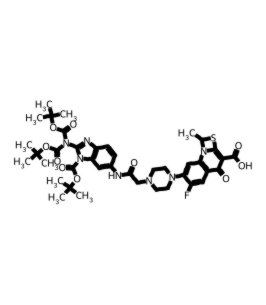 CC1Sc2c(C(=O)O)c(=O)c3cc(F)c(N4CCN(CC(=O)Nc5ccc6nc(N(C(=O)OC(C)(C)C)C(=O)OC(C)(C)C)n(C(=O)OC(C)(C)C)c6c5)CC4)cc3n21